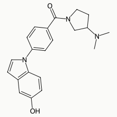 CN(C)C1CCN(C(=O)c2ccc(-n3ccc4cc(O)ccc43)cc2)C1